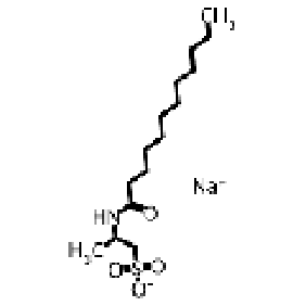 CCCCCCCCCCCC(=O)NC(C)CS(=O)(=O)[O-].[Na+]